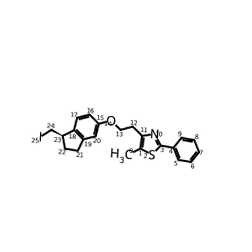 Cc1sc(-c2ccccc2)nc1CCOc1ccc2c(c1)CC[C@H]2CI